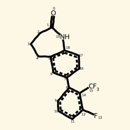 O=C1CCCc2cc(-c3cccc(F)c3C(F)(F)F)ccc2N1